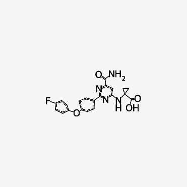 NC(=O)c1cc(NC2(C(=O)O)CC2)nc(-c2ccc(Oc3ccc(F)cc3)cc2)n1